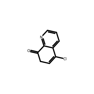 O=C1CC=C(Cl)c2cccnc21